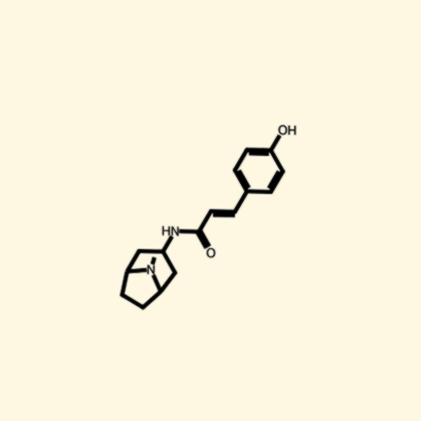 CN1C2CCC1CC(NC(=O)C=Cc1ccc(O)cc1)C2